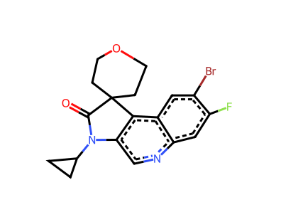 O=C1N(C2CC2)c2cnc3cc(F)c(Br)cc3c2C12CCOCC2